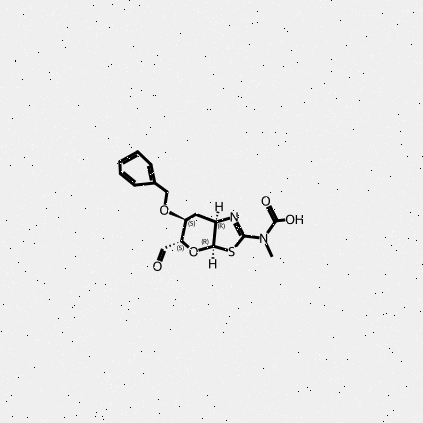 CN(C(=O)O)C1=N[C@@H]2C[C@H](OCc3ccccc3)[C@@H](C=O)O[C@@H]2S1